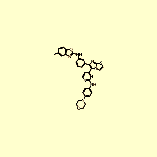 Cc1ccc2oc(Nc3cccc(-c4nc5sccn5c4-c4ccnc(Nc5ccc(N6CCOCC6)cc5)n4)c3)nc2c1